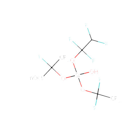 CCCCCCCCC(F)(O[Si](O)(OC(F)(F)C(F)F)OC(F)(F)C(F)(F)F)C(F)(F)F